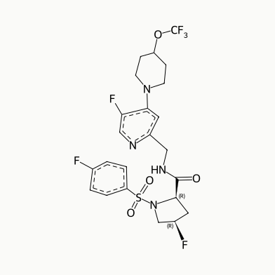 O=C(NCc1cc(N2CCC(OC(F)(F)F)CC2)c(F)cn1)[C@H]1C[C@@H](F)CN1S(=O)(=O)c1ccc(F)cc1